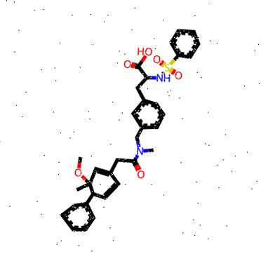 COC1(C)C=C(CC(=O)N(C)Cc2cccc(CC(NS(=O)(=O)c3ccccc3)C(=O)O)c2)C=CC1c1ccccc1